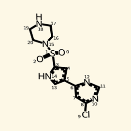 O=S(=O)(c1cc(-c2cc(Cl)ncn2)c[nH]1)N1CCNCC1